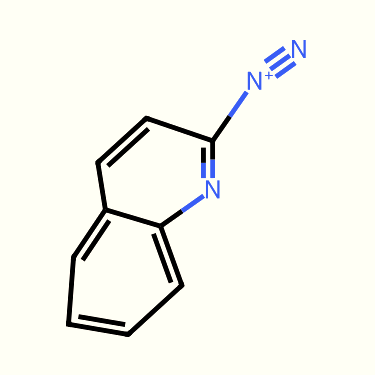 N#[N+]c1ccc2ccccc2n1